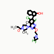 C=CC(=O)N1C[C@H](C)N(c2nc(OCCN3CC(F)(F)C3)nc3c(F)c(-c4cc(O)cc5ccccc45)c(Cl)cc23)C[C@H]1C